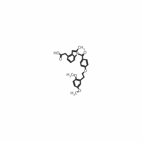 COc1ccc(OC)c(CCOc2ccc(C(=O)n3c(C)cc4c(CC(=O)O)cccc43)cc2)c1